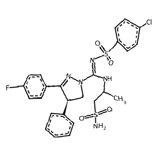 CC(CS(N)(=O)=O)N/C(=N\S(=O)(=O)c1ccc(Cl)cc1)N1C[C@@H](c2ccccc2)C(c2ccc(F)cc2)=N1